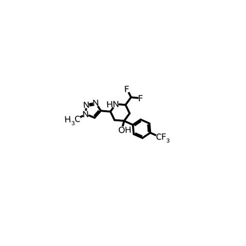 Cn1cc(C2CC(O)(c3ccc(C(F)(F)F)cc3)CC(C(F)F)N2)nn1